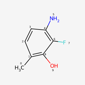 Cc1ccc(N)c(F)c1O